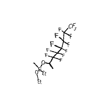 CCO[Si](C)(CC)OC(C)C(F)(F)C(F)(F)C(F)(F)C(F)(F)C(F)(F)C(F)(F)F